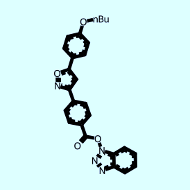 CCCCOc1ccc(-c2cc(-c3ccc(C(=O)On4nnc5ccccc54)cc3)no2)cc1